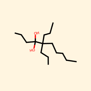 CCCCCC(CCC)(CCC)C(O)(O)CCC